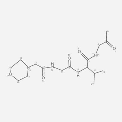 CC(=O)CNC(=O)C(NC(=O)CNC(=O)CN1CCOCC1)C(C)C